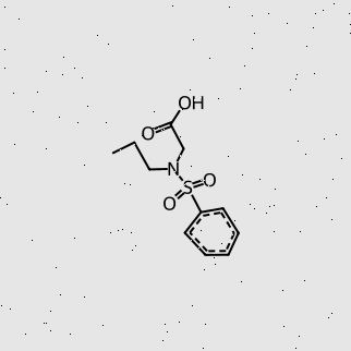 CCCN(CC(=O)O)S(=O)(=O)c1ccccc1